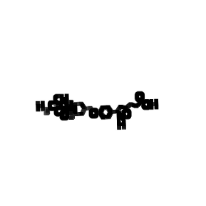 CC(C)(C)OC(=O)N1CCC(COc2ccc(C3CC(CCC(=O)O)ON3)cc2)CC1